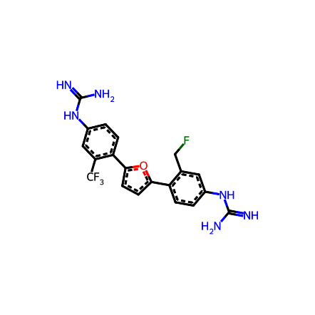 N=C(N)Nc1ccc(-c2ccc(-c3ccc(NC(=N)N)cc3C(F)(F)F)o2)c(CF)c1